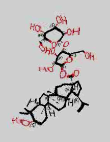 C=C(C)[C@@H]1CC[C@]2(C(=O)O[C@@H]3O[C@H](CO)[C@@H](O[C@@H]4O[C@H](CO)[C@H](O)[C@H](O)[C@H]4O)[C@H](O)[C@H]3O)CC[C@]3(C)[C@H](CC[C@@H]4[C@@]5(C)CC[C@H](O)C(C)(C)[C@@H]5CC[C@]43C)[C@@H]12